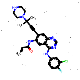 C=CC(=O)Nc1cc2c(Nc3ccc(F)c(Cl)c3)ncnc2cc1C#CC(C)(C)N1CCNCC1